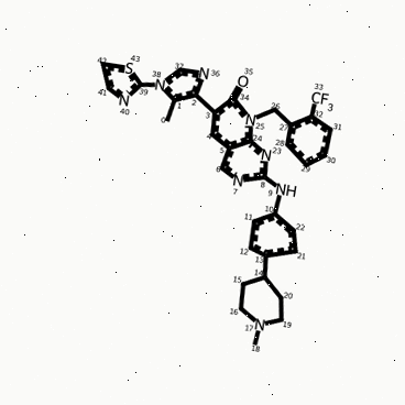 Cc1c(-c2cc3cnc(Nc4ccc(C5CCN(C)CC5)cc4)nc3n(Cc3ccccc3C(F)(F)F)c2=O)ncn1-c1nccs1